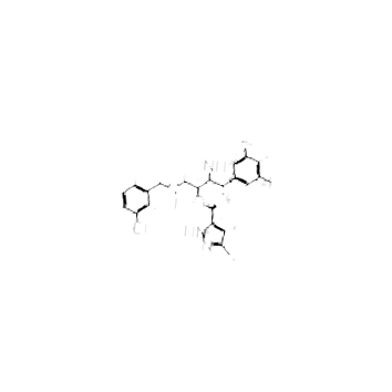 CCc1cccc(CNCC(OC(=O)c2cc(C)n[nH]2)C(N)Cc2cc(F)cc(F)c2)c1